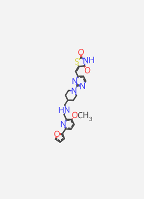 COc1ccc(-c2ccco2)nc1CNCC1CCN(c2nccc(/C=C3/SC(=O)NC3=O)n2)CC1